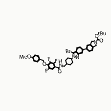 COc1ccc(COc2c(F)cc(C(=O)NCC3CCC(n4nc5cc(-c6ccc7c(c6)CN(C(=O)OC(C)(C)C)C7)ccc5c4Br)CC3)c(F)c2F)cc1